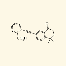 CC1(C)CCC(=O)c2cc(C#Cc3ccccc3C(=O)O)ccc21